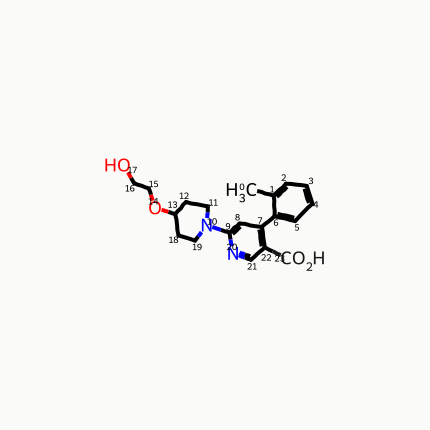 Cc1ccccc1-c1cc(N2CCC(OCCO)CC2)ncc1C(=O)O